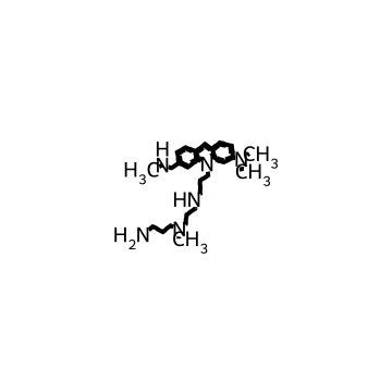 CNCc1ccc2cc3ccc(N(C)C)cc3[n+](CCCNCCCN(C)CCCN)c2c1